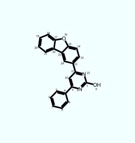 Oc1nc(-c2ccccc2)cc(-c2ccc3oc4ccccc4c3c2)n1